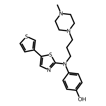 CN1CCN(CCCN(c2ccc(O)cc2)c2ncc(-c3ccsc3)s2)CC1